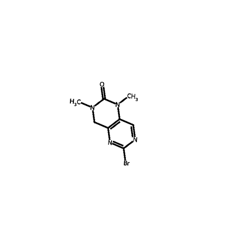 CN1Cc2nc(Br)ncc2N(C)C1=O